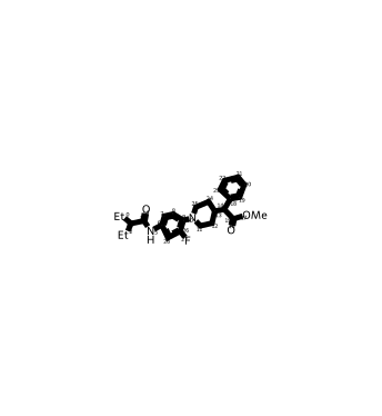 CCC(CC)C(=O)Nc1ccc(N2CCC(C(C(=O)OC)c3ccccc3)CC2)c(F)c1